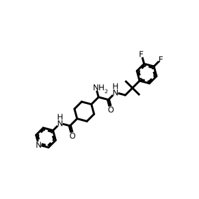 CC(C)(CNC(=O)C(N)C1CCC(C(=O)Nc2ccncc2)CC1)c1ccc(F)c(F)c1